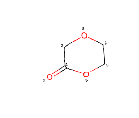 O=C1CO[CH]CO1